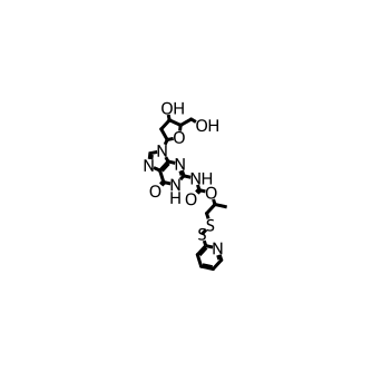 CC(CSSc1ccccn1)OC(=O)Nc1nc2c(ncn2C2CC(O)C(CO)O2)c(=O)[nH]1